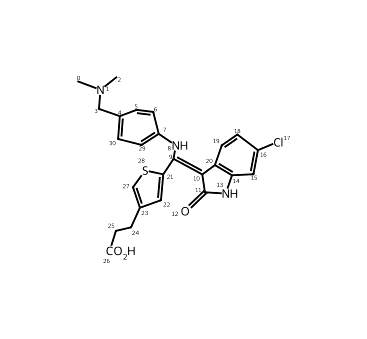 CN(C)Cc1ccc(NC(=C2C(=O)Nc3cc(Cl)ccc32)c2cc(CCC(=O)O)cs2)cc1